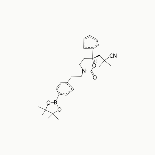 CC(C)(C#N)C[C@]1(c2ccccc2)CCN(CCc2ccc(B3OC(C)(C)C(C)(C)O3)cc2)C(=O)O1